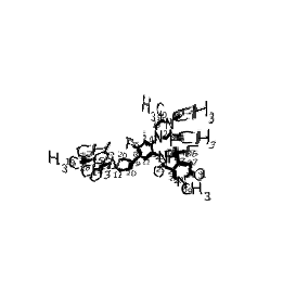 C[C@@H]1CN(c2cc(F)c(C3=CCN(C(=O)OC(C)(C)C)C3)cc2NC(=O)c2cn(C)c(=O)cc2C(F)(F)F)C[C@H](C)N1C